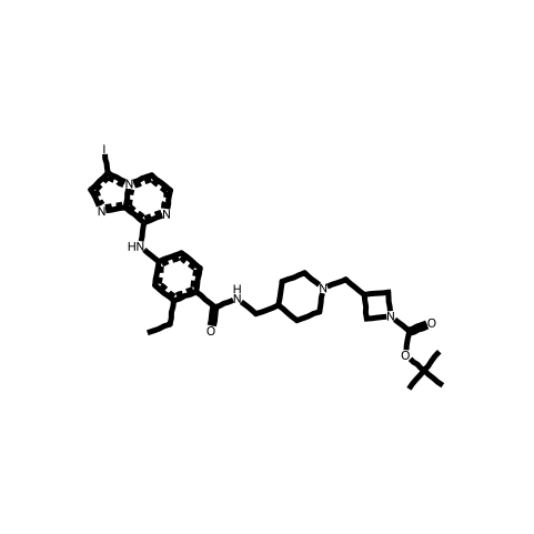 CCc1cc(Nc2nccn3c(I)cnc23)ccc1C(=O)NCC1CCN(CC2CN(C(=O)OC(C)(C)C)C2)CC1